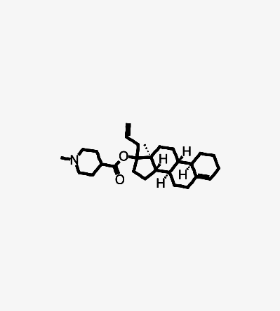 C=CCC1(OC(=O)C2CCN(C)CC2)CC[C@H]2[C@@H]3CCC4=CCCC[C@@H]4[C@H]3CC[C@@]21C